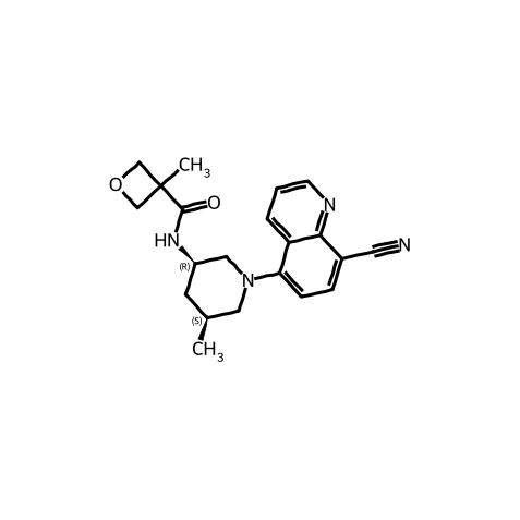 C[C@H]1C[C@@H](NC(=O)C2(C)COC2)CN(c2ccc(C#N)c3ncccc23)C1